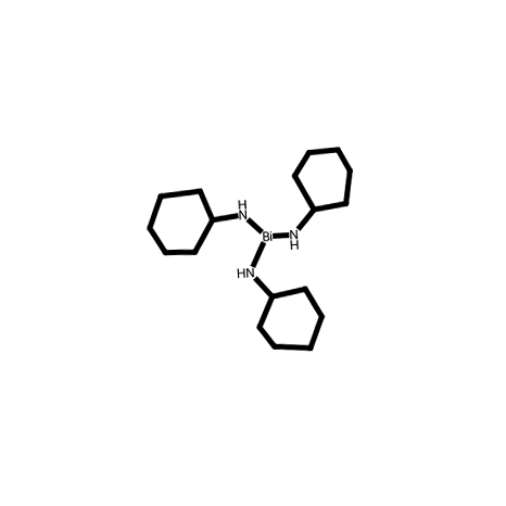 C1CCC([NH][Bi]([NH]C2CCCCC2)[NH]C2CCCCC2)CC1